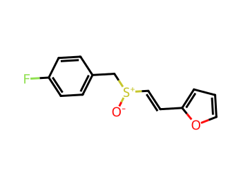 [O-][S+](C=Cc1ccco1)Cc1ccc(F)cc1